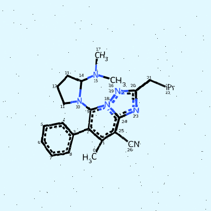 Cc1c(-c2ccccc2)c(N2CCCC2N(C)C)n2nc(CC(C)C)nc2c1C#N